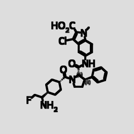 Cn1c(C(=O)O)c(Cl)c2cc(NC(=O)[C@@H]3[C@@H](c4ccccc4)CCN3C(=O)[C@H]3CC[C@H](C(N)CF)CC3)ccc21